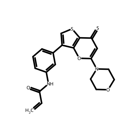 C=CC(=O)Nc1cccc(-c2csc3c(=S)cc(N4CCOCC4)oc23)c1